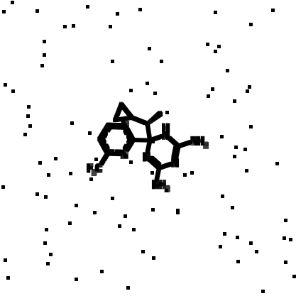 C[C@H](C1CC1)C1(c2nccc(C(F)(F)F)n2)N=C(N)N=C(N)N1